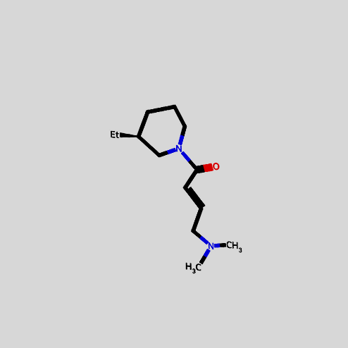 CC[C@H]1CCCN(C(=O)/C=C/CN(C)C)C1